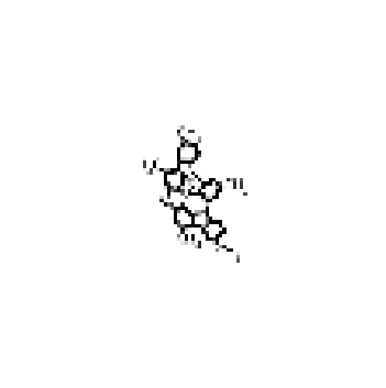 Cc1cc2c3c(c1)-n1c4ccc(C)cc4c4c(C)cc5c(c41)P3(=S)c1c(cc(C)c3c4cc(C)ccc4n-2c13)O5